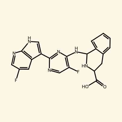 O=C(O)C1Cc2ccccc2C(Nc2nc(-c3c[nH]c4ncc(F)cc34)ncc2F)N1